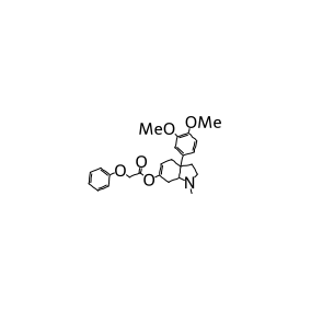 COc1ccc(C23CC=C(OC(=O)COc4ccccc4)CC2N(C)CC3)cc1OC